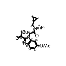 CCCN(CC1CC1)C(=O)Cn1c(C(=O)C(C)(C)C)nc2ccc(OC)cc21